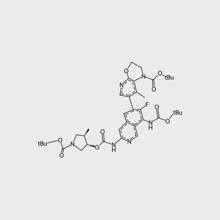 Cc1c(-c2cc3cc(NC(=O)O[C@H]4CN(C(=O)OC(C)(C)C)C[C@H]4C)ncc3c(NC(=O)OC(C)(C)C)c2F)cnc2c1N(C(=O)OC(C)(C)C)CCO2